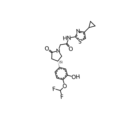 O=C(CN1C[C@H](c2ccc(OC(F)F)c(O)c2)CC1=O)Nc1nc(C2CC2)cs1